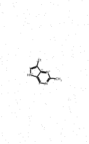 CCc1c[nH]c2cnc(C)nc12